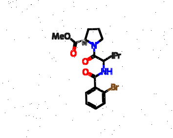 COC(=O)[C@@H]1CCCN1C(=O)C(NC(=O)c1ccccc1Br)C(C)C